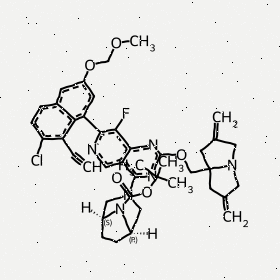 C#Cc1c(Cl)ccc2cc(OCOC)cc(-c3ncc4c(N5C[C@H]6CC[C@@H](C5)N6C(=O)OC(C)(C)C)nc(OCC56CC(=C)CN5CC(=C)C6)nc4c3F)c12